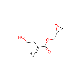 C=C(CCO)C(=O)OCC1CO1